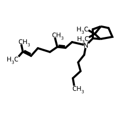 CCCCCN(C/C=C(\C)CCC=C(C)C)C1CC2CCC1C2(C)C